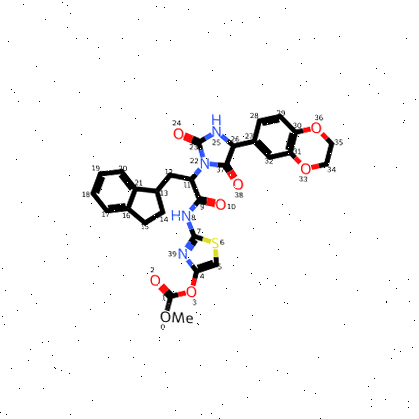 COC(=O)Oc1csc(NC(=O)C(CC2CCc3ccccc32)N2C(=O)NC(c3ccc4c(c3)OCCO4)C2=O)n1